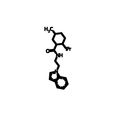 CC1CCC(C(C)C)C(C(=O)NCCn2ccc3ccccc32)C1